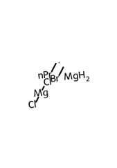 CBr.[CH2]CCC.[Cl][Mg][Cl].[MgH2]